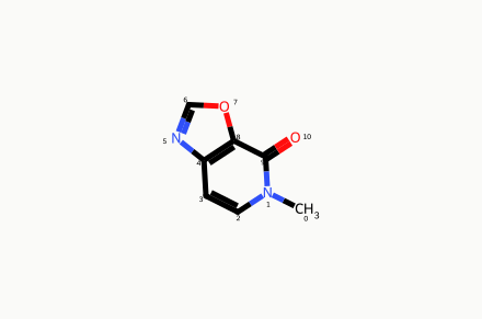 Cn1ccc2ncoc2c1=O